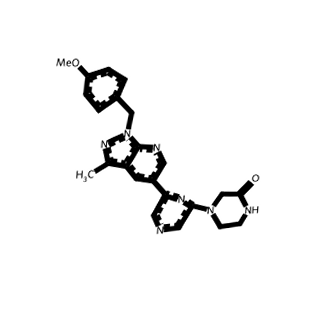 COc1ccc(Cn2nc(C)c3cc(-c4cncc(N5CCNC(=O)C5)n4)cnc32)cc1